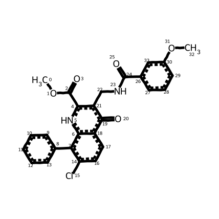 COC(=O)c1[nH]c2c(-c3ccccc3)c(Cl)ccc2c(=O)c1CNC(=O)c1cccc(OC)c1